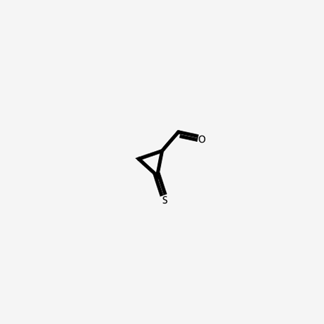 O=CC1CC1=S